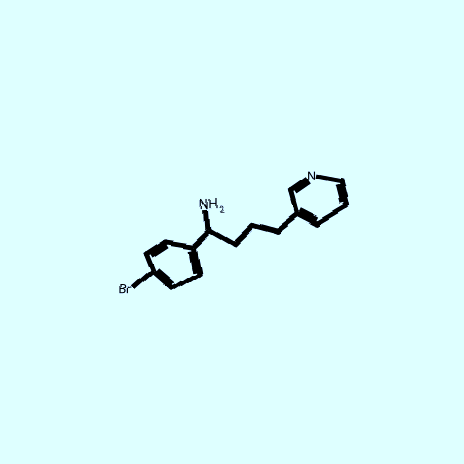 NC(CCCc1cccnc1)c1ccc(Br)cc1